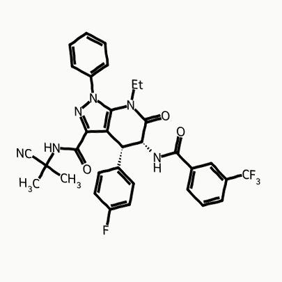 CCN1C(=O)[C@H](NC(=O)c2cccc(C(F)(F)F)c2)[C@H](c2ccc(F)cc2)c2c(C(=O)NC(C)(C)C#N)nn(-c3ccccc3)c21